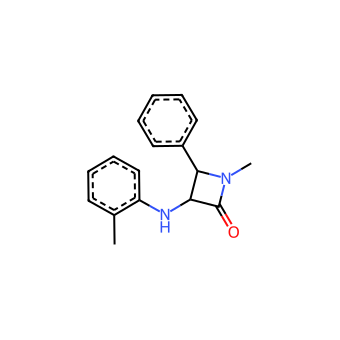 Cc1ccccc1NC1C(=O)N(C)C1c1ccccc1